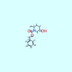 C[C@H]1CC[C@@H](O)CN1C(=O)OCc1ccccc1